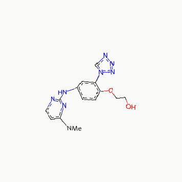 CNc1ccnc(Nc2ccc(OCCO)c(-n3cnnn3)c2)n1